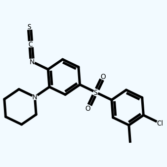 Cc1cc(S(=O)(=O)c2ccc(N=C=S)c(N3CCCCC3)c2)ccc1Cl